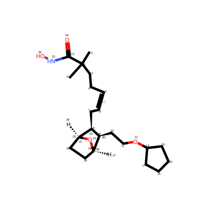 CC(C)(CC/C=C\C[C@H]1[C@@H](CCOC2CCCC2)[C@H]2CC[C@@H]1O2)C(=O)NO